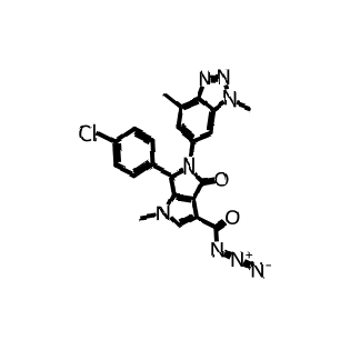 Cc1cc(N2C(=O)c3c(C(=O)N=[N+]=[N-])cn(C)c3C2c2ccc(Cl)cc2)cc2c1nnn2C